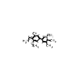 C=C1C(C)=CC(c2cc(C)c(CN)c(OC)c2)=CN1C